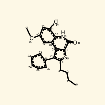 CCCCc1sc2c(=O)[nH]c3c(Cl)cc(OC)cc3c2c1-c1ccccc1